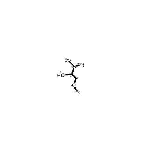 CCOCC(O)N(CC)CC